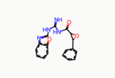 N=C(NC(=O)C1OC1c1ccccc1)Nc1nc2ccccc2o1